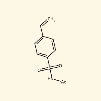 C=Cc1ccc(S(=O)(=O)[NH][Ac])cc1